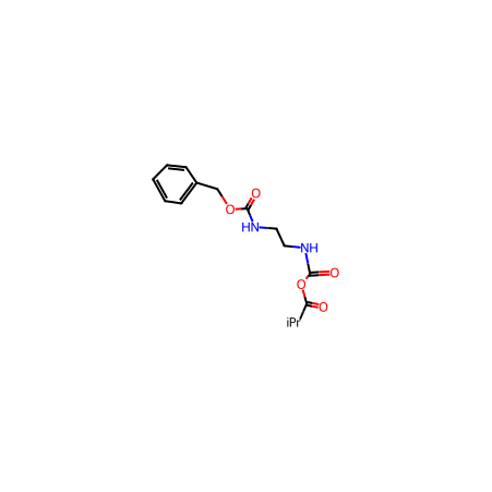 CC(C)C(=O)OC(=O)NCCNC(=O)OCc1ccccc1